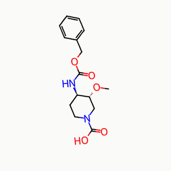 CO[C@@H]1CN(C(=O)O)CC[C@H]1NC(=O)OCc1ccccc1